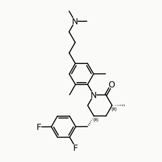 Cc1cc(CCCN(C)C)cc(C)c1N1C[C@@H](Cc2ccc(F)cc2F)C[C@@H](C)C1=O